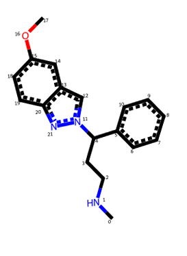 CNCCC(c1ccccc1)n1cc2cc(OC)ccc2n1